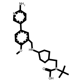 COc1ccc(-c2ccc(N)nc2)cc1CNC1CCC(CN(C(=O)O)C(C)(C)C)CC1